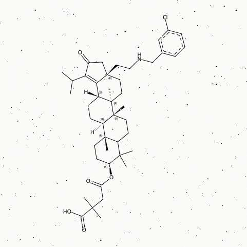 CC(C)C1=C2[C@H]3CC[C@@H]4[C@@]5(C)CC[C@H](OC(=O)CC(C)(C)C(=O)O)C(C)(C)C5CC[C@@]4(C)[C@]3(C)CC[C@@]2(CCNCc2cccc(Cl)c2)CC1=O